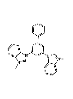 C[n+]1cn(-c2cc(-c3ccccc3)cc(-n3c[n+](C)c4ccccc43)c2)c2ccccc21